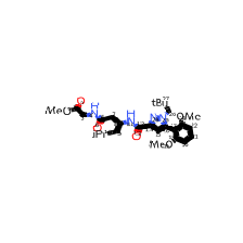 COC(=O)CNC(=O)CC(CC(C)C)NC(=O)c1cc(-c2c(OC)cccc2OC)n(CC(C)(C)C)n1